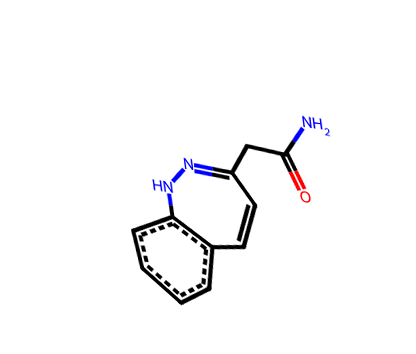 NC(=O)CC1=NNc2ccccc2C=C1